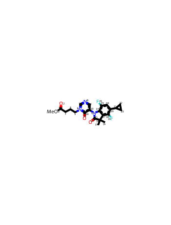 COC(=O)CCCn1cncc(N2C(=O)C(C)(C)c3c(F)c(C4CC4)cc(F)c32)c1=O